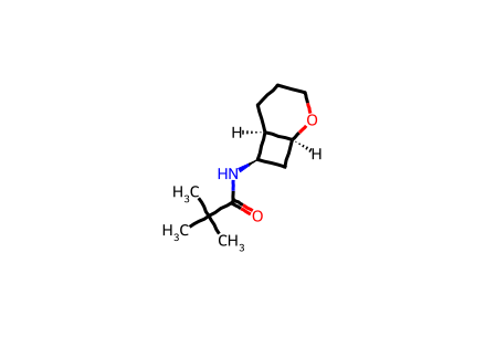 CC(C)(C)C(=O)N[C@@H]1C[C@@H]2OCCC[C@@H]21